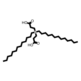 CCCCCCCCCCCCCS(CCCCCCCCCCCCC)(CCC(=O)O)CCC(=O)O